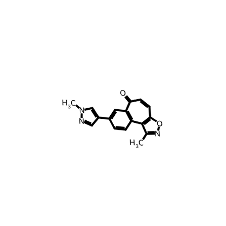 Cc1noc2ccc(=O)c3cc(-c4cnn(C)c4)ccc3c12